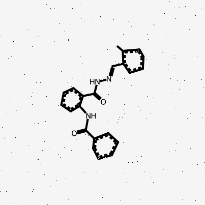 Cc1ccccc1C=NNC(=O)c1ccccc1NC(=O)c1ccccc1